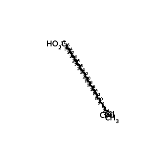 C[Si](Cl)(Cl)CCCCCCCCCCCCCCCCCCCCCCCCCCCCCCCCCC(=O)O